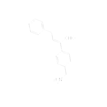 NCc1ccc(C(C=O)=CCc2ccccc2)cc1